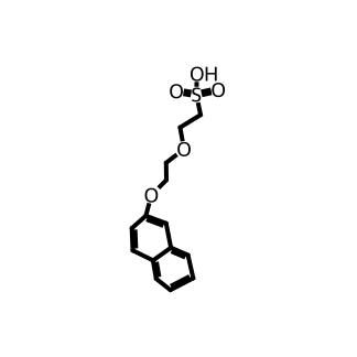 O=S(=O)(O)CCOCCOc1ccc2ccccc2c1